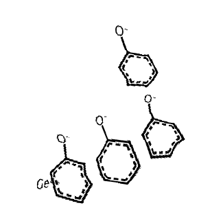 [Ge+4].[O-]c1ccccc1.[O-]c1ccccc1.[O-]c1ccccc1.[O-]c1ccccc1